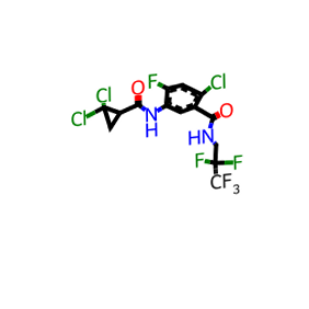 O=C(NCC(F)(F)C(F)(F)F)c1cc(NC(=O)C2CC2(Cl)Cl)c(F)cc1Cl